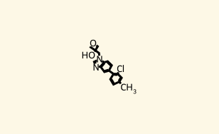 Cc1ccc(-c2ccc3c(c2)ncn3CC2(O)COC2)c(Cl)c1